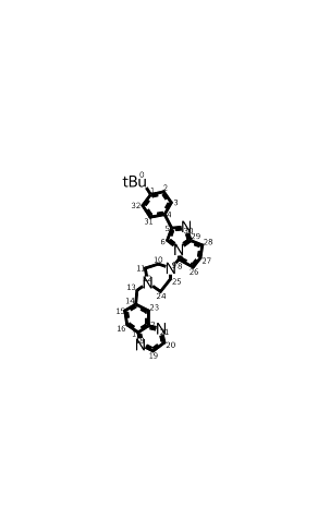 CC(C)(C)c1ccc(-c2cn3c(N4CCN(Cc5ccc6nccnc6c5)CC4)cccc3n2)cc1